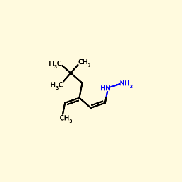 C/C=C(\C=C/NN)CC(C)(C)C